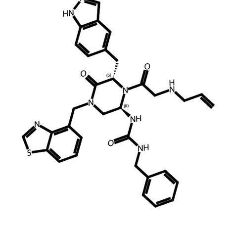 C=CCNCC(=O)N1[C@@H](NC(=O)NCc2ccccc2)CN(Cc2cccc3scnc23)C(=O)[C@@H]1Cc1ccc2[nH]ncc2c1